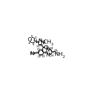 Cn1nc(N2CCOCC2)cc1C(=O)c1cc(C#N)ccc1-c1ncc(CN)cn1